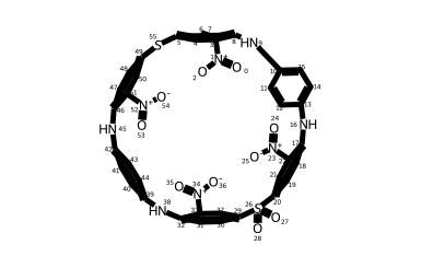 O=[N+]([O-])c1cc2ccc1Nc1ccc(cc1)Nc1ccc(cc1[N+](=O)[O-])S(=O)(=O)c1ccc(c([N+](=O)[O-])c1)Nc1ccc(cc1)Nc1ccc(cc1[N+](=O)[O-])S2